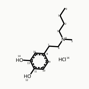 CCCCN(C)CCc1ccc(O)c(O)c1.Cl